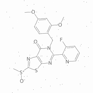 COc1ccc(Cn2c(-c3ncccc3F)nc3sc([S+](C)[O-])nc3c2=O)c(OC)c1